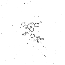 C[C@@](N)(C=O)Nc1cccc(-c2cc(-c3ccc(Br)cc3O)nc(NC(=O)c3cccs3)c2C#N)c1.Cl